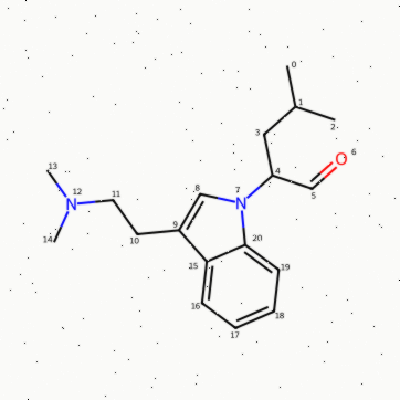 CC(C)CC(C=O)n1cc(CCN(C)C)c2ccccc21